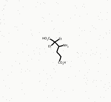 CCC(CC)(C(=O)O)C(N)CCC(=O)O